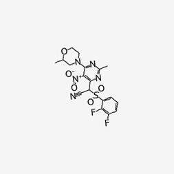 Cc1nc(C(C#N)S(=O)(=O)c2cccc(F)c2F)c([N+](=O)[O-])c(N2CCOC(C)C2)n1